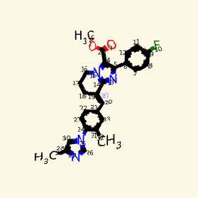 COC(=O)c1c(-c2ccc(F)cc2)nc2n1CCC/C2=C\c1ccc(-n2cnc(C)c2)c(C)c1